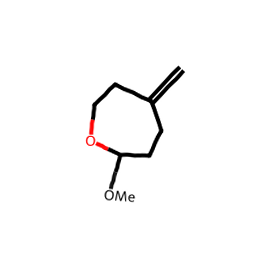 C=C1CCOC(OC)CC1